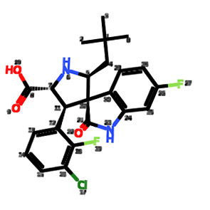 CC(C)(C)C[C@@H]1N[C@@H](C(=O)O)[C@H](c2cccc(Cl)c2F)[C@]12C(=O)Nc1cc(F)ccc12